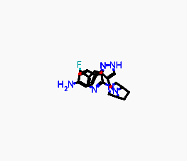 Nc1ccc(-c2n[nH]cc2CN2C3CCC2CN(c2ccc(CF)cn2)C3)cc1